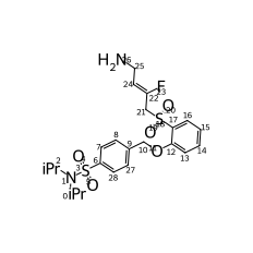 CC(C)N(C(C)C)S(=O)(=O)c1ccc(COc2ccccc2S(=O)(=O)C/C(F)=C/CN)cc1